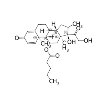 CCCCC(=O)OC1C[C@@]2(C)[C@@H](CC(C)[C@]2(O)C(=O)CO)[C@@H]2CCC3=CC(=O)C=C[C@]3(C)[C@@]12F